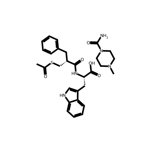 CC(=O)SC[C@H](Cc1ccccc1)C(=O)N[C@@H](Cc1c[nH]c2ccccc12)C(=O)O.CN1CCN(C(N)=O)CC1